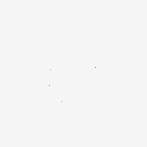 CC(C)c1cccnc1O[C@@H]1CC[C@H](c2cc(Nc3cnccn3)n(C(C)(C)C)n2)C1